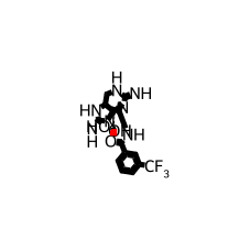 C[C@]1(O)C(NC(=O)c2cccc(C(F)(F)F)c2)CN2C(=N)NCC3NC(=N)N(O)C321